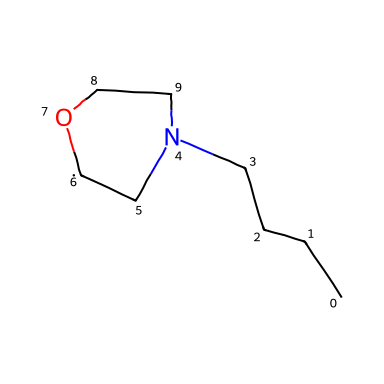 CCCCN1C[CH]OCC1